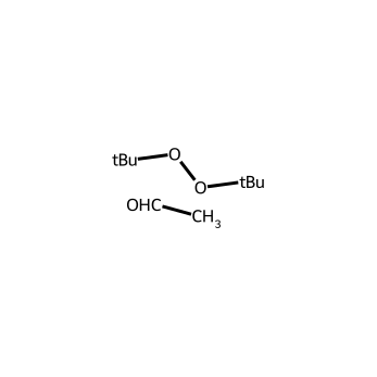 CC(C)(C)OOC(C)(C)C.CC=O